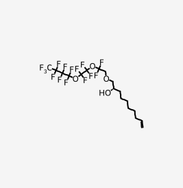 C=CCCCCCC[C@@H](O)COCC(F)(F)OC(F)(F)C(F)(F)OC(F)(F)C(F)(F)C(F)(F)C(F)(F)F